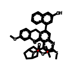 COc1ccc(Cn2c(-c3cc(O)cc4ccccc34)cc3nc(SC)nc(N4CC5CCC(C4)N5C(=O)OC(C)(C)C)c3c2=O)c(OC)c1